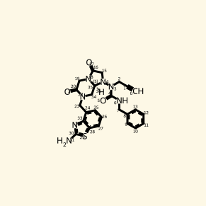 C#CCN(C(=O)NCc1ccccc1)N1CC(=O)N2CC(=O)N(Cc3cccc4sc(N)nc34)C[C@@H]21